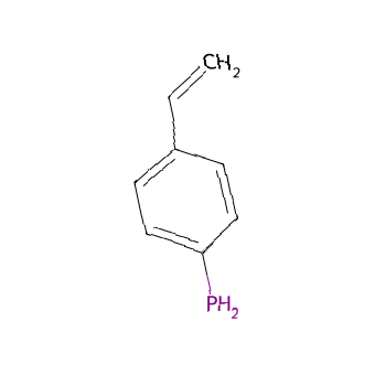 C=Cc1ccc(P)cc1